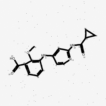 COc1c(Nc2ccnc(NC(=O)C3CC3)c2)cccc1C(=O)O